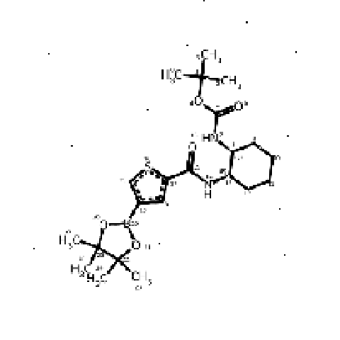 CC(C)(C)OC(=O)N[C@H]1CCCC[C@H]1NC(=O)c1cc(B2OC(C)(C)C(C)(C)O2)cs1